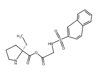 CS[C@@]1(C(=O)OC(=O)CNS(=O)(=O)c2ccc3ccccc3c2)CCCN1